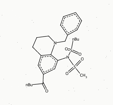 CCCCC(=O)c1cc2c(c(N(S(C)(=O)=O)S(=O)(=O)CCCC)c1)N(Cc1ccccc1)CCC2